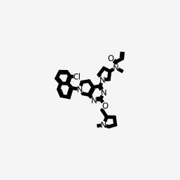 C=CC(=O)N(C)C1CCN(c2nc(OCC3CCCN3C)nc3c2CCN(c2cccc4cccc(Cl)c24)C3)C1